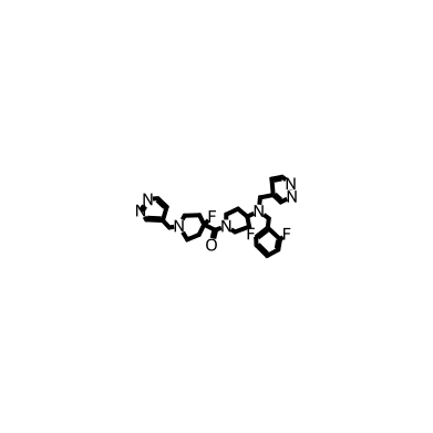 O=C(N1CCC(N(Cc2ccnnc2)Cc2c(F)cccc2F)CC1)C1(F)CCN(Cc2ccnnc2)CC1